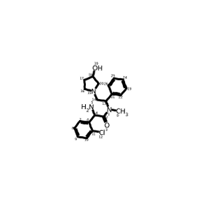 CN(C(=O)C(N)c1ccccc1Cl)C(CN1CCC(O)C1)c1ccccc1